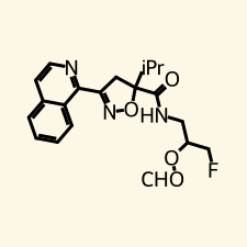 CC(C)C1(C(=O)NCC(CF)OC=O)CC(c2nccc3ccccc23)=NO1